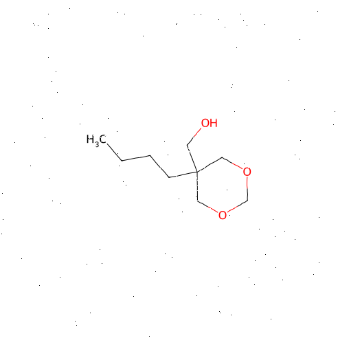 CCCCC1(CO)COCOC1